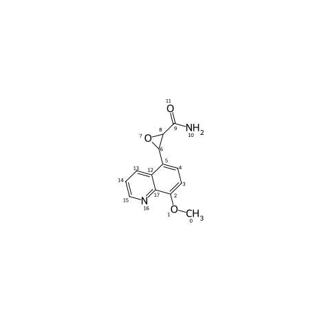 COc1ccc(C2OC2C(N)=O)c2cccnc12